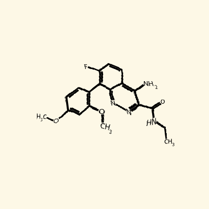 CCNC(=O)c1nnc2c(-c3ccc(OC)cc3OC)c(F)ccc2c1N